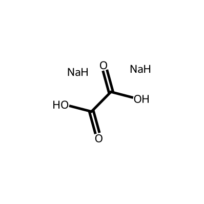 O=C(O)C(=O)O.[NaH].[NaH]